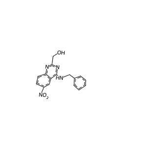 O=[N+]([O-])c1ccc2nc(CO)nc(NCc3ccccc3)c2c1